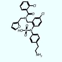 NCCc1ccc(N(c2ccc(Cl)cc2CN(Cc2ccco2)C(=O)c2ccccc2Cl)S(=O)(=O)O)cc1